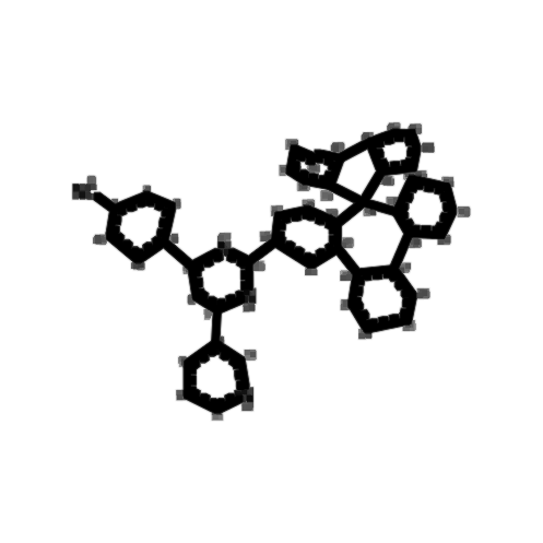 N#Cc1ccc(-c2cc(-c3cccnc3)nc(-c3ccc4c(c3)-c3ccccc3-c3ccccc3C43c4ccccc4-c4ccccc43)n2)cc1